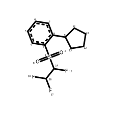 O=S(=O)(c1ccccc1C1CCCC1)C(F)C(F)F